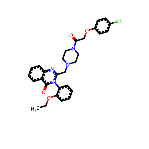 CCOc1ccccc1-n1c(CN2CCN(C(=O)COc3ccc(Cl)cc3)CC2)nc2ccccc2c1=O